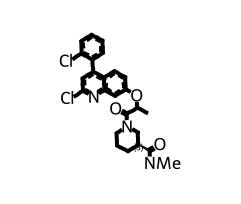 CNC(=O)[C@H]1CCCN(C(=O)C(C)Oc2ccc3c(-c4ccccc4Cl)cc(Cl)nc3c2)C1